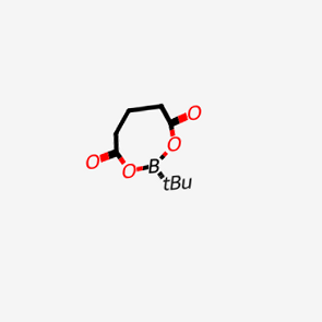 CC(C)(C)B1OC(=O)CCCC(=O)O1